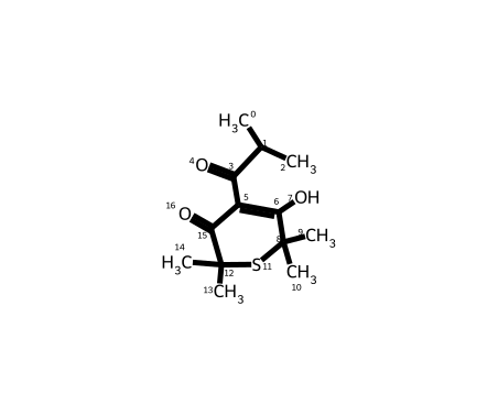 CC(C)C(=O)C1=C(O)C(C)(C)SC(C)(C)C1=O